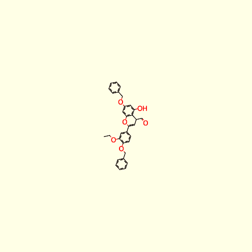 CCOc1cc(C2=CC(C=O)c3c(O)cc(OCc4ccccc4)cc3O2)ccc1OCc1ccccc1